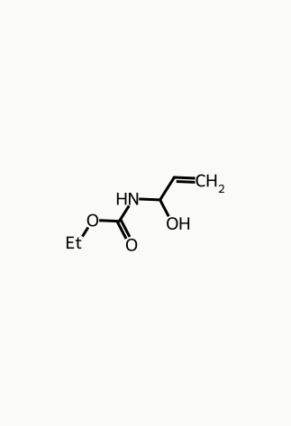 C=CC(O)NC(=O)OCC